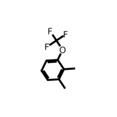 Cc1cccc(OC(F)(F)F)c1C